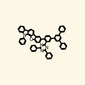 c1ccc(-c2cc(-c3ccccc3)cc(-c3ccc(-c4ccc5oc6c(ccc7c8ccccc8n(-c8ccccc8)c76)c5c4)c(-c4nc(-c5ccccc5)nc(-c5ccccc5)n4)c3)c2)cc1